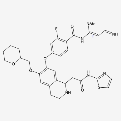 CN/C(=C\C=N)NC(=O)c1ccc(Oc2cc3c(cc2OCC2CCCCO2)CCNC3CC(=O)Nc2nccs2)cc1F